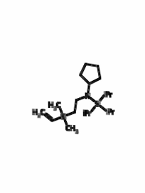 C=C[Si](C)(C)CCN(C1CCCC1)[Si](C(C)C)(C(C)C)C(C)C